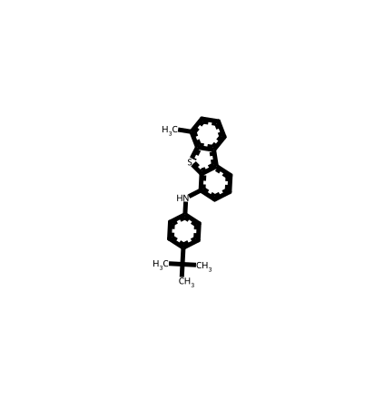 Cc1cccc2c1sc1c(Nc3ccc(C(C)(C)C)cc3)cccc12